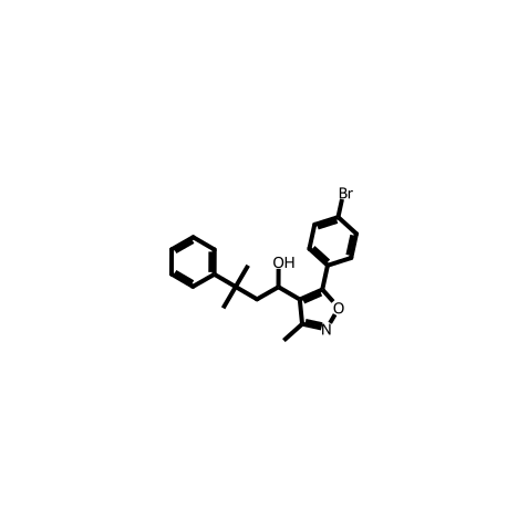 Cc1noc(-c2ccc(Br)cc2)c1C(O)CC(C)(C)c1ccccc1